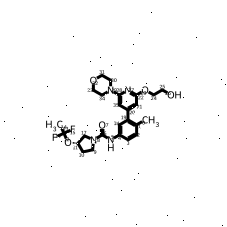 Cc1ccc(NC(=O)N2CC[C@H](OC(C)(F)F)C2)cc1-c1cc(OCCO)nc(N2CCOCC2)c1